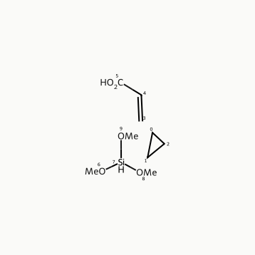 C1CC1.C=CC(=O)O.CO[SiH](OC)OC